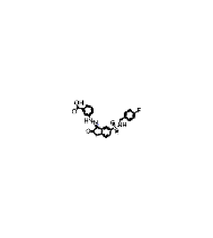 O=C1Cc2ccc(S(=O)(=O)NCc3ccc(F)cc3)cc2/C1=N/Nc1cccc(C(=O)O)c1